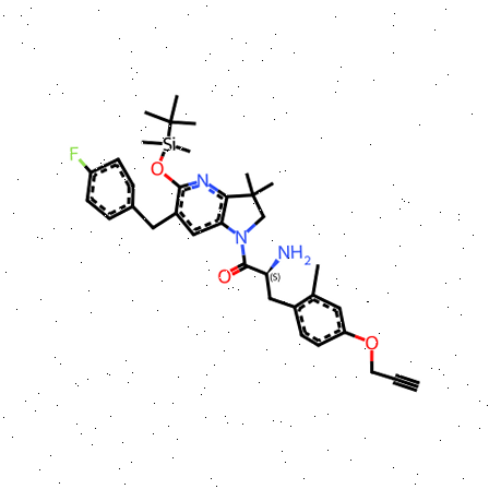 C#CCOc1ccc(C[C@H](N)C(=O)N2CC(C)(C)c3nc(O[Si](C)(C)C(C)(C)C)c(Cc4ccc(F)cc4)cc32)c(C)c1